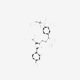 Cc1cc(C(O)C(C)Cc2nc(-c3ccc(Cl)cc3Cl)oc2C(C)C)ccc1OC(C)(C)CO